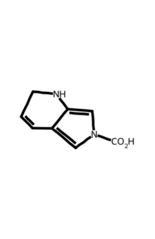 O=C(O)n1cc2c(c1)NCC=C2